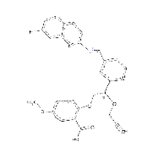 C#CCO[C@H](COc1ccc(OC)cc1C(=O)O)c1cccc(/C=C/c2ccc3ccc(F)cc3n2)c1